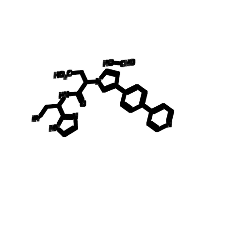 CC(C)CC(NC(=O)C(CC(=O)O)n1ccc(-c2ccc(-c3ccncc3)cc2)c1)c1ncc[nH]1.O=CO